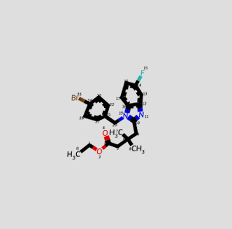 CCOC(=O)CC(C)(C)Cc1nc2cc(F)ccc2n1Cc1ccc(Br)cc1